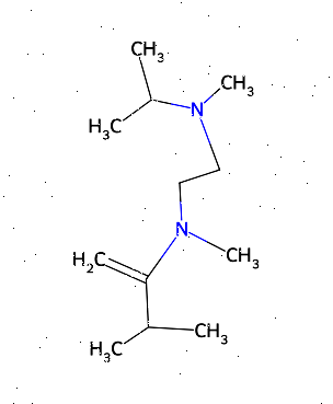 C=C(C(C)C)N(C)CCN(C)C(C)C